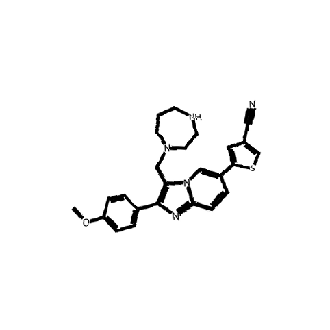 COc1ccc(-c2nc3ccc(-c4cc(C#N)cs4)cn3c2CN2CCCNCC2)cc1